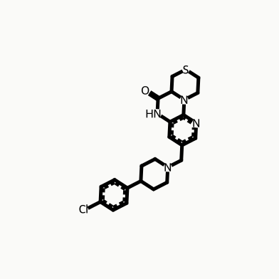 O=C1Nc2cc(CN3CCC(c4ccc(Cl)cc4)CC3)cnc2N2CCSCC12